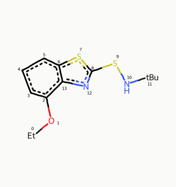 CCOc1cccc2sc(SNC(C)(C)C)nc12